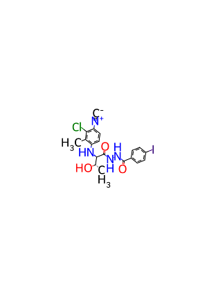 [C-]#[N+]c1ccc(N[C@@H](C(=O)NNC(=O)c2ccc(I)cc2)[C@H](C)O)c(C)c1Cl